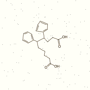 O=C(O)CCCCC(c1ccccc1)C(CCC(=O)O)c1ccccc1